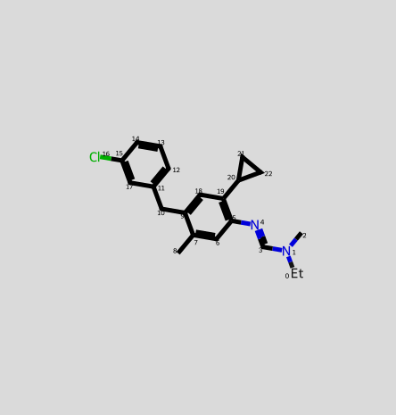 CCN(C)C=Nc1cc(C)c(Cc2cccc(Cl)c2)cc1C1CC1